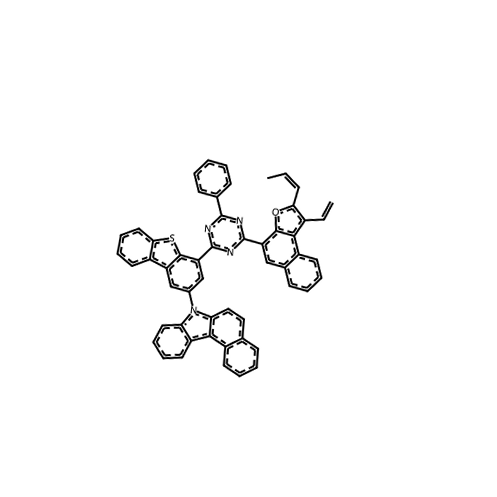 C=Cc1c(/C=C\C)oc2c(-c3nc(-c4ccccc4)nc(-c4cc(-n5c6ccccc6c6c7ccccc7ccc65)cc5c4sc4ccccc45)n3)cc3ccccc3c12